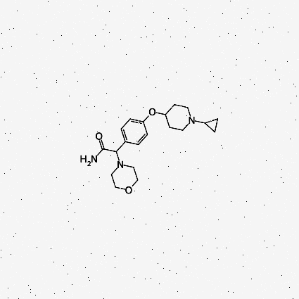 NC(=O)C(c1ccc(OC2CCN(C3CC3)CC2)cc1)N1CCOCC1